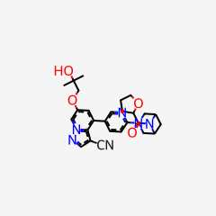 CC(C)(O)COc1cc(-c2ccc(N3CC4CC(C3)N4C(=O)C3CCCO3)nc2)c2c(C#N)cnn2c1